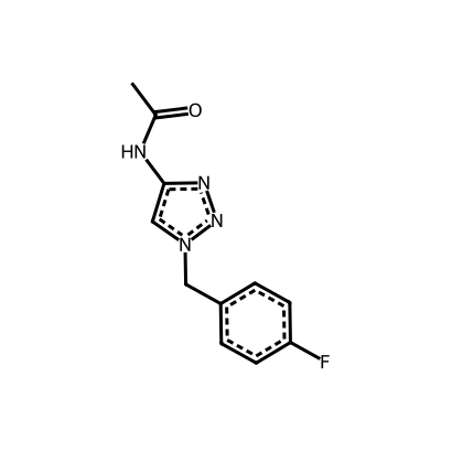 CC(=O)Nc1cn(Cc2ccc(F)cc2)nn1